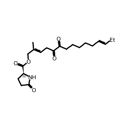 CCC=CCCCCCC(=O)C(=O)CC=C(C)COC(=O)[C@@H]1CCC(=O)N1